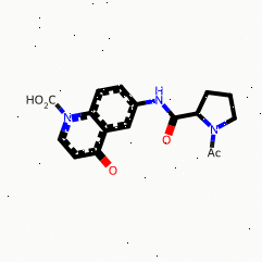 CC(=O)N1CCCC1C(=O)Nc1ccc2c(c1)c(=O)ccn2C(=O)O